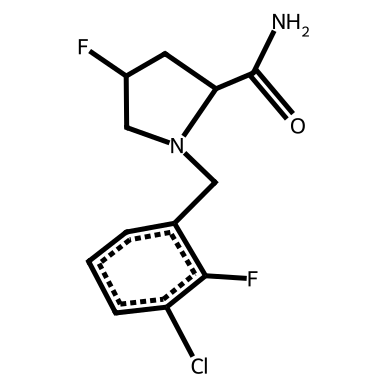 NC(=O)C1CC(F)CN1Cc1cccc(Cl)c1F